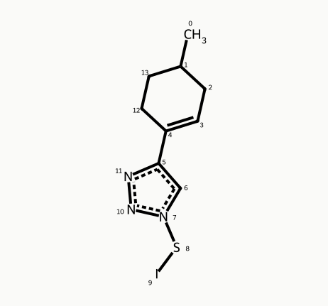 CC1CC=C(c2cn(SI)nn2)CC1